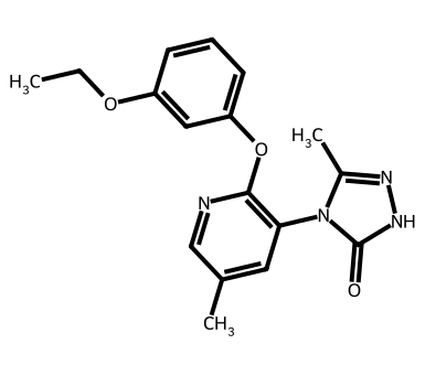 CCOc1cccc(Oc2ncc(C)cc2-n2c(C)n[nH]c2=O)c1